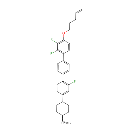 C=CCCCOc1ccc(-c2ccc(-c3ccc(C4CCC(CCCCC)CC4)cc3F)cc2)c(F)c1F